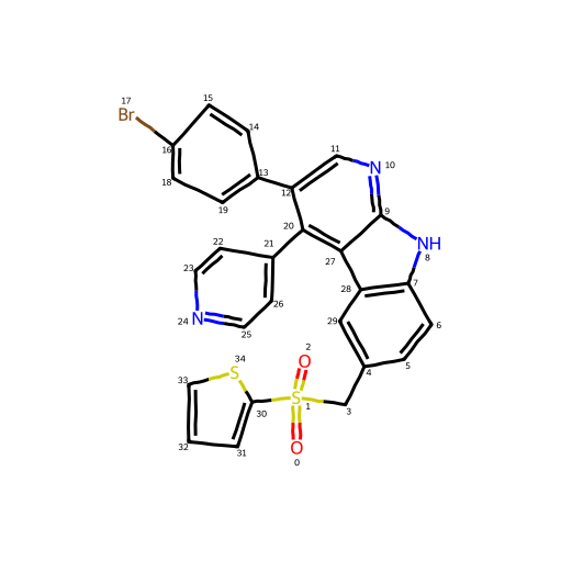 O=S(=O)(Cc1ccc2[nH]c3ncc(-c4ccc(Br)cc4)c(-c4ccncc4)c3c2c1)c1cccs1